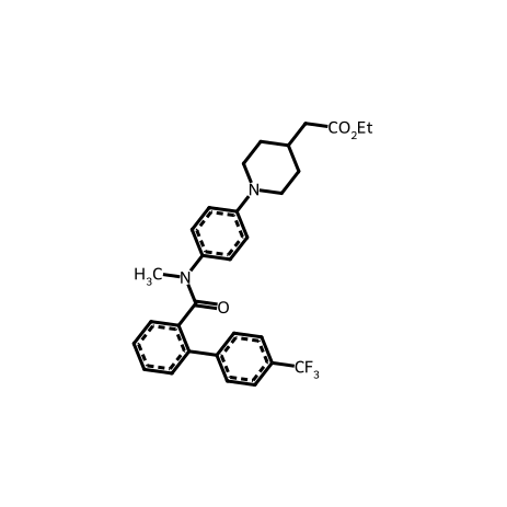 CCOC(=O)CC1CCN(c2ccc(N(C)C(=O)c3ccccc3-c3ccc(C(F)(F)F)cc3)cc2)CC1